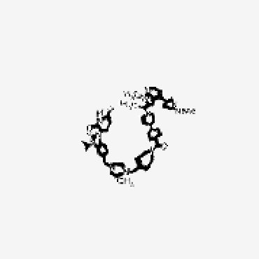 CNc1ccc(-c2ccnc3c2cc([C@H](C)N2CCC(c4ccc(C(=O)N5CCC(CN6CCN(Cc7ccc8c(c7)n(C7CC7)c(=O)n8C7CCC(=O)NC7=O)C[C@@H]6C)CC5)cc4)CC2)n3C)cn1